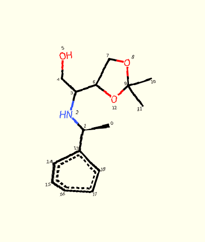 C[C@H](NC(CO)C1COC(C)(C)O1)c1ccccc1